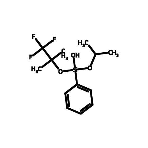 CC(C)O[Si](O)(OC(C)(C)C(F)(F)F)c1ccccc1